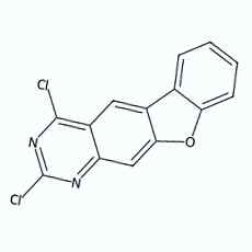 Clc1nc(Cl)c2cc3c(cc2n1)oc1ccccc13